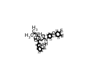 CC(C)NC(=O)CN(CC(=O)Nc1ccc(Oc2ccc(F)c(F)c2)cc1)C(=O)c1cc2cccc(F)c2[nH]1